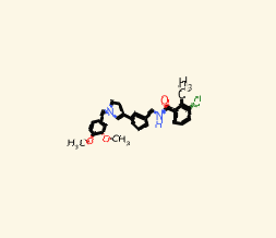 COc1ccc(CN2CCC(c3cccc(CNC(=O)c4cccc(Cl)c4C)c3)C2)cc1OC